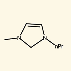 [CH2]CCN1C=CN(C)C1